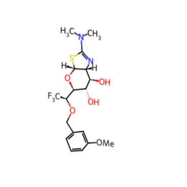 COc1cccc(CO[C@H]([C@H]2O[C@@H]3SC(N(C)C)=N[C@@H]3[C@@H](O)[C@@H]2O)C(F)(F)F)c1